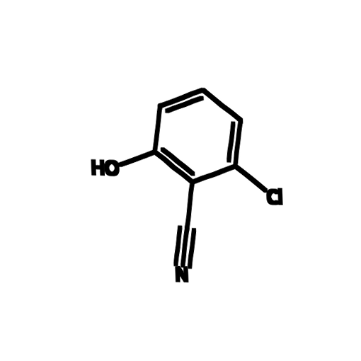 N#Cc1c(O)cccc1Cl